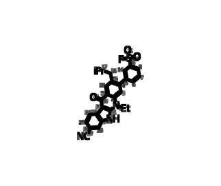 CCn1c2cc(-c3cccc(S(=O)(=O)F)c3)c(CC(C)C)cc2c(=O)c2c3ccc(C#N)cc3[nH]c21